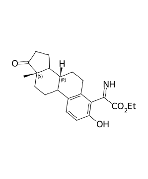 CCOC(=O)C(=N)c1c(O)ccc2c1CC[C@@H]1C2CC[C@]2(C)C(=O)CCC12